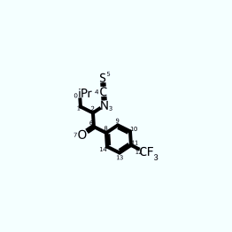 CC(C)CC(N=C=S)C(=O)c1ccc(C(F)(F)F)cc1